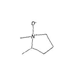 CC1CCC[N+]1(C)[O-]